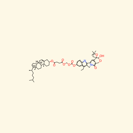 CCc1c2c(nc3ccc(OC(=O)OCOC(=O)CCC(=O)O[C@H]4CC[C@@]5(C)C(=CC[C@H]6[C@@H]7CC[C@H]([C@H](C)CCCC(C)C)[C@@]7(C)CC[C@@H]65)C4)cc13)-c1cc3c(c(=O)n1C2)COC(O)C3(CC)O[Si](C)(C)C